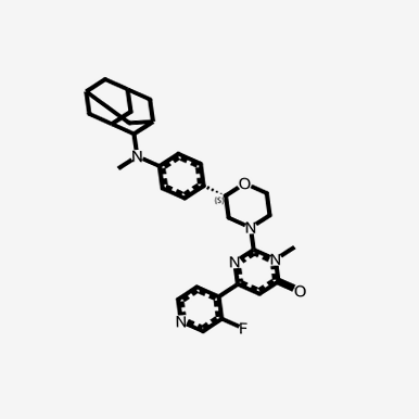 CN(c1ccc([C@H]2CN(c3nc(-c4ccncc4F)cc(=O)n3C)CCO2)cc1)C1C2CC3CC(C2)CC1C3